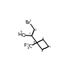 OC(CBr)C1(C(F)(F)F)CCC1